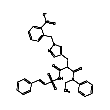 CCN(C(=O)C(Cc1cnn(Cc2ccccc2[N+](=O)[O-])c1)C(=O)NS(=O)(=O)C=Cc1ccccc1)c1ccccc1